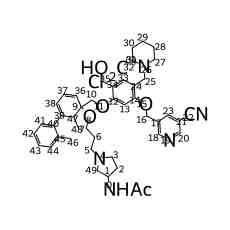 CC(=O)NC1CCN(CCCOC2(COc3cc(OCc4cncc(C#N)c4)c(CN4CCCC[C@H]4C(=O)O)cc3Cl)C=CC=C(c3ccccc3C)C2C)C1